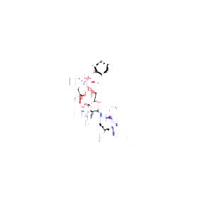 CC(C)OC(=O)[C@H](C)NP(=O)(Oc1ccccc1)O[C@H](C)[C@H]1O[C@@H](n2cc(F)c(N)nc2=O)[C@@](N)(CF)C1O